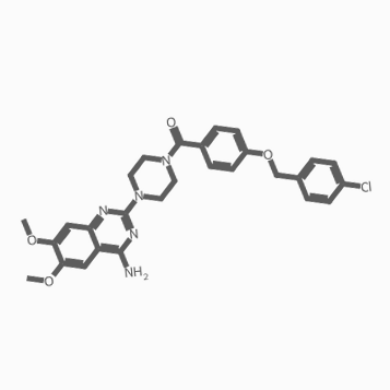 COc1cc2nc(N3CCN(C(=O)c4ccc(OCc5ccc(Cl)cc5)cc4)CC3)nc(N)c2cc1OC